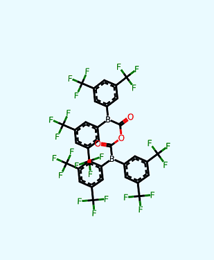 O=C(OC(=O)B(c1cc(C(F)(F)F)cc(C(F)(F)F)c1)c1cc(C(F)(F)F)cc(C(F)(F)F)c1)B(c1cc(C(F)(F)F)cc(C(F)(F)F)c1)c1cc(C(F)(F)F)cc(C(F)(F)F)c1